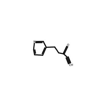 C#CC(=O)CCc1cccnc1